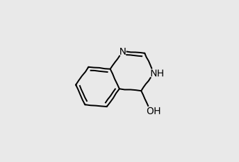 OC1NC=Nc2ccccc21